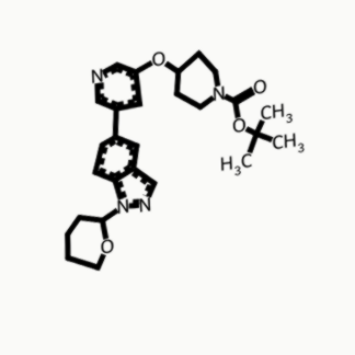 CC(C)(C)OC(=O)N1CCC(Oc2cncc(-c3ccc4c(cnn4C4CCCCO4)c3)c2)CC1